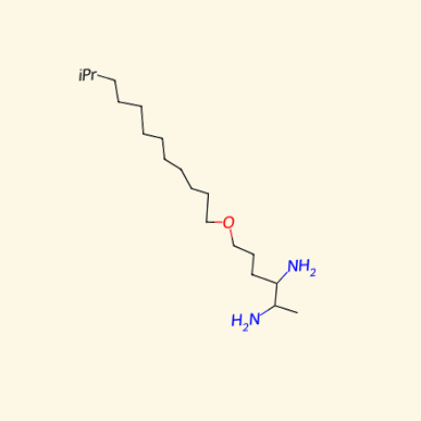 CC(C)CCCCCCCCCCOCCCC(N)C(C)N